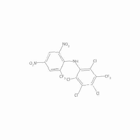 O=[N+]([O-])c1cc([N+](=O)[O-])c(Nc2c(Cl)c(Cl)c(Cl)c(C(F)(F)F)c2Cl)c(C(F)(F)F)c1